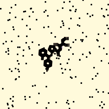 Cc1ccccc1[C@@H](C[C@H]1CCCN1C(=O)/C=C(\O)C(O)C=N)c1ccc(F)cc1